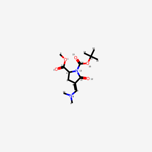 COC(=O)C1C/C(=C\N(C)C)C(=O)N1C(=O)OC(C)(C)C